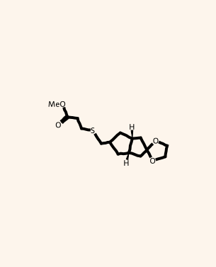 COC(=O)CCSCC1C[C@@H]2CC3(C[C@@H]2C1)OCCO3